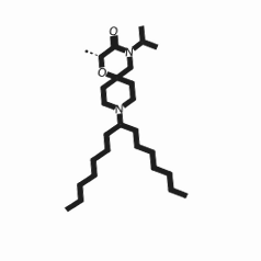 CCCCCCCC(CCCCCCC)N1CCC2(CC1)CN(C(C)C)C(=O)[C@@H](C)O2